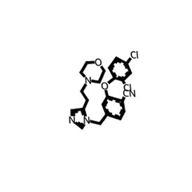 N#Cc1ccc(Cn2cncc2CCN2CCOCC2)cc1Oc1ccc(Cl)cc1Cl